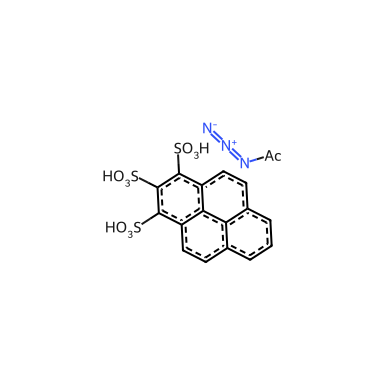 CC(=O)N=[N+]=[N-].O=S(=O)(O)c1c(S(=O)(=O)O)c2ccc3cccc4ccc(c1S(=O)(=O)O)c2c34